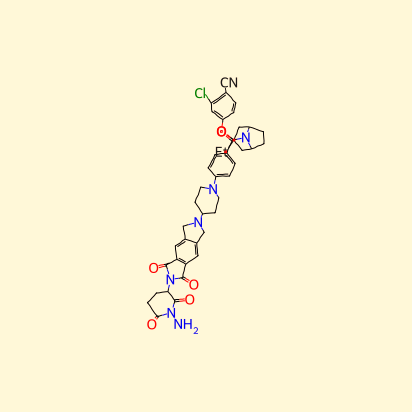 CCC1(Oc2ccc(C#N)c(Cl)c2)CC2CCC(C1)N2C(=O)c1ccc(N2CCC(N3Cc4cc5c(cc4C3)C(=O)N(C3CCC(=O)N(N)C3=O)C5=O)CC2)cc1